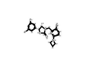 C[C@H]1[C@@H](c2cc(F)cc(F)c2)OC(=O)N1Cc1nc(N2CCC2)ccc1Br